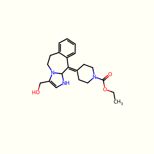 CCOC(=O)N1CCC(=C2c3ccccc3CCN3C(CO)=CNC23)CC1